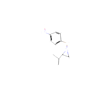 CC(C)C1CN1Sc1ccc(NO)cc1